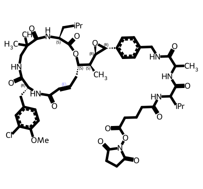 COc1ccc(C[C@H]2NC(=O)/C=C/C[C@@H]([C@H](C)[C@H]3O[C@@H]3c3ccc(CNC(=O)C(C)NC(=O)C(NC(=O)CCCC(=O)ON4C(=O)CCC4=O)C(C)C)cc3)OC(=O)[C@H](CC(C)C)NC(=O)C(C)(C)CNC2=O)cc1Cl